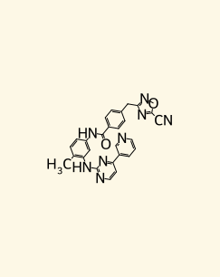 Cc1ccc(NC(=O)c2ccc(Cc3noc(C#N)n3)cc2)cc1Nc1nccc(-c2cccnc2)n1